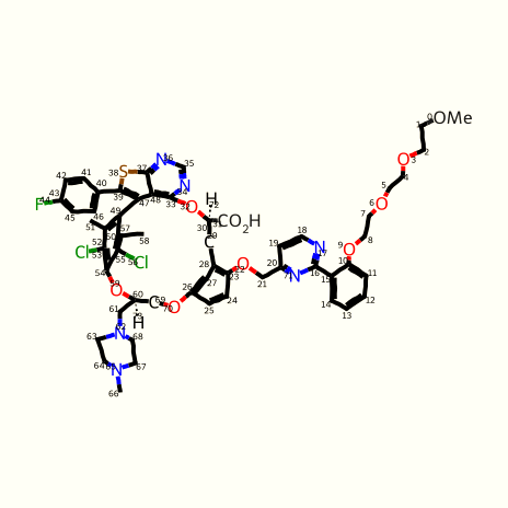 COCCOCCOCCOc1ccccc1-c1nccc(COc2ccc3cc2C[C@H](C(=O)O)Oc2ncnc4sc(-c5ccc(F)cc5)c(c24)-c2c(C)c(Cl)c(c(Cl)c2C)O[C@H](CN2CCN(C)CC2)CO3)n1